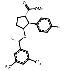 COC(=O)[C@H]1CC[C@H](O[C@@H](C)c2cc(C(F)(F)F)cc(C(F)(F)F)c2)[C@@H]1c1ccc(F)cc1